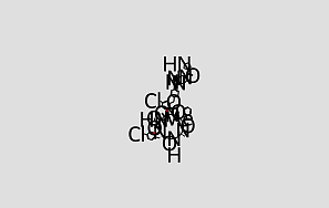 COC[C@@H]1NC(=O)[C@H](C)N(Cc2ccc(Cl)cc2Oc2ccc(-c3nnc4n3CCN(C(=O)C3CCNC3)C4)cc2)C(=O)C[C@@H](Cc2ccccc2)C(=O)N(C)[C@@H](C)CNC(=O)C[C@H](Cc2ccc(Cl)cc2)N(C)C1=O